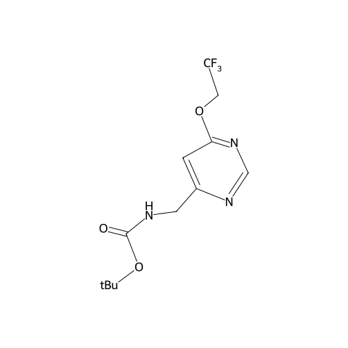 CC(C)(C)OC(=O)NCc1cc(OCC(F)(F)F)ncn1